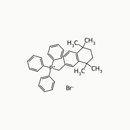 CC1(C)CCC(C)(C)c2cc(C[P+](c3ccccc3)(c3ccccc3)c3ccccc3)ccc21.[Br-]